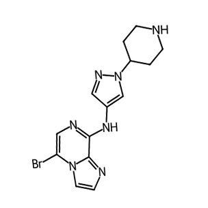 Brc1cnc(Nc2cnn(C3CCNCC3)c2)c2nccn12